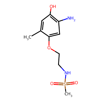 Cc1cc(O)c(N)cc1OCCNS(C)(=O)=O